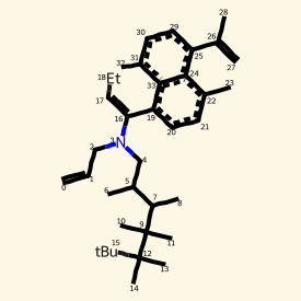 C=CCN(CC(C)C(C)C(C)(C)C(C)(C)C(C)(C)C)/C(=C/CC)c1ccc(C)c2c(C(=C)C)ccc(C)c12